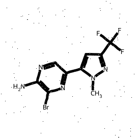 Cn1nc(C(F)(F)F)cc1-c1cnc(N)c(Br)n1